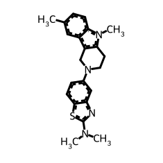 Cc1ccc2c(c1)c1c(n2C)CCN(c2ccc3sc(N(C)C)nc3c2)C1